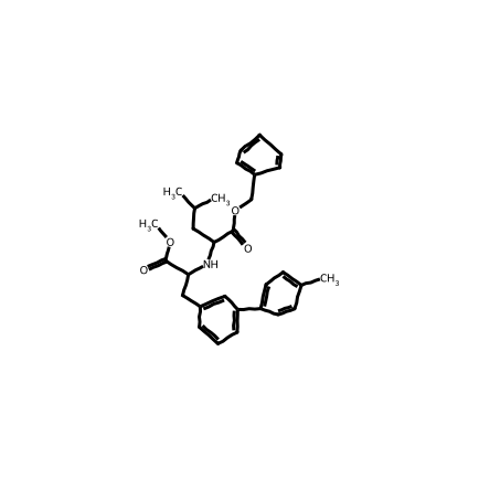 COC(=O)C(Cc1cccc(-c2ccc(C)cc2)c1)NC(CC(C)C)C(=O)OCc1ccccc1